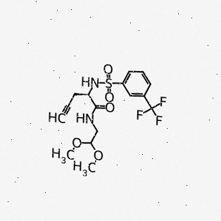 C#CC[C@@H](NS(=O)(=O)c1cccc(C(F)(F)F)c1)C(=O)NCC(OC)OC